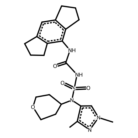 Cc1nn(C)cc1N(C1CCOCC1)S(=O)(=O)NC(=O)Nc1c2c(cc3c1CCC3)CCC2